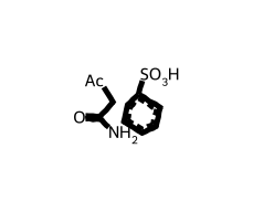 CC(=O)CC(N)=O.O=S(=O)(O)c1ccccc1